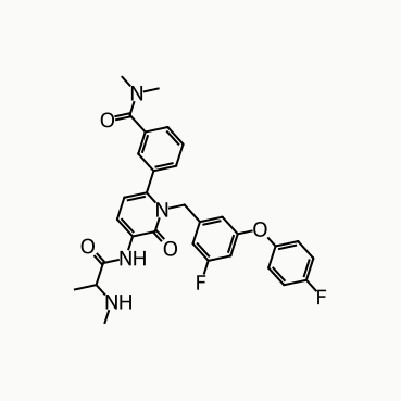 CNC(C)C(=O)Nc1ccc(-c2cccc(C(=O)N(C)C)c2)n(Cc2cc(F)cc(Oc3ccc(F)cc3)c2)c1=O